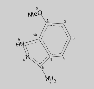 COc1cccc2c(N)n[nH]c12